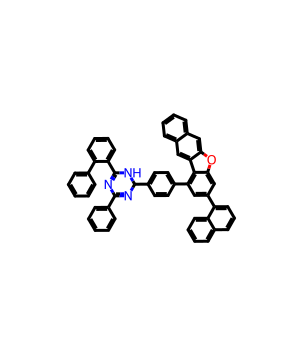 c1ccc(C2=NC(c3ccc(-c4cc(-c5cccc6ccccc56)cc5oc6cc7ccccc7cc6c45)cc3)NC(c3ccccc3-c3ccccc3)=N2)cc1